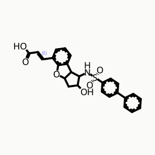 O=C(O)/C=C/c1cccc2c1OC1CC(O)C(NS(=O)(=O)c3ccc(-c4ccccc4)cc3)C21